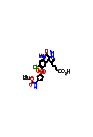 CC(C)(C)OC(=O)NC1CCC(S(=O)(=O)c2cc3c(cc2Cl)[nH]c(=O)c2[nH]cc(CCCC(=O)O)c23)C1